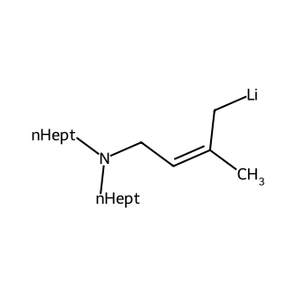 [Li][CH2]C(C)=CCN(CCCCCCC)CCCCCCC